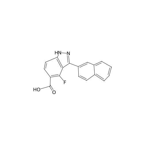 O=C(O)c1ccc2[nH]nc(-c3ccc4ccccc4c3)c2c1F